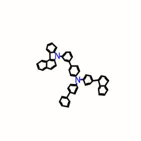 c1ccc(-c2ccc(N(c3ccc(-c4cccc(-n5c6ccccc6c6c7ccccc7ccc65)c4)cc3)c3ccc(-c4cccc5ccccc45)cc3)cc2)cc1